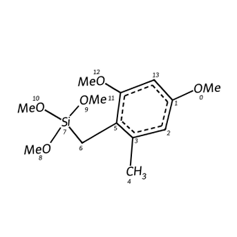 COc1cc(C)c(C[Si](OC)(OC)OC)c(OC)c1